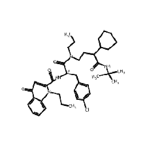 CCCN(CCC(C(=O)NC(C)(C)C)C1CCCCC1)C(=O)[C@@H](Cc1ccc(Cl)cc1)NC(=O)c1cc(=O)c2ccccc2n1CCC